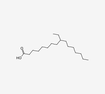 CCCCCCCC(CC)CCCCCCCC(=O)O